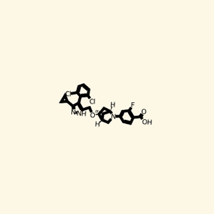 O=C(O)c1ccc(N2C[C@@H]3C[C@H]2C[C@H]3OCc2[nH]nc(C3CC3)c2-c2c(Cl)cccc2Cl)cc1F